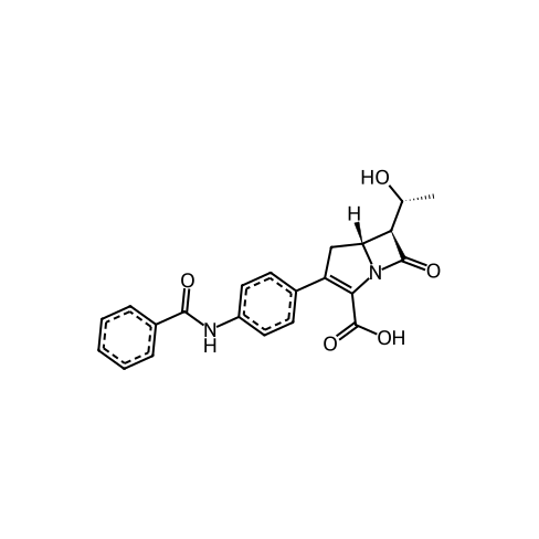 C[C@@H](O)[C@H]1C(=O)N2C(C(=O)O)=C(c3ccc(NC(=O)c4ccccc4)cc3)C[C@H]12